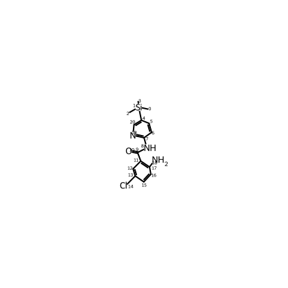 C[Si](C)(C)c1ccc(NC(=O)c2cc(Cl)ccc2N)nc1